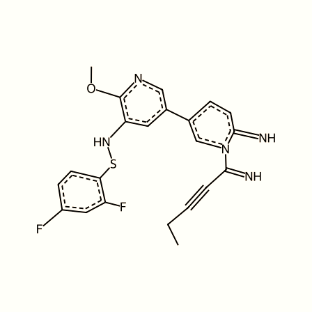 CCC#CC(=N)n1cc(-c2cnc(OC)c(NSc3ccc(F)cc3F)c2)ccc1=N